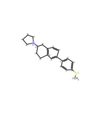 CSc1ccc(-c2ccc3c(c2)CCC(N2CCCC2)C3)cc1